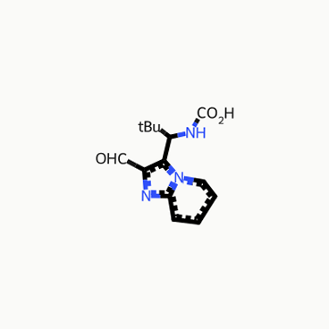 CC(C)(C)C(NC(=O)O)c1c(C=O)nc2ccccn12